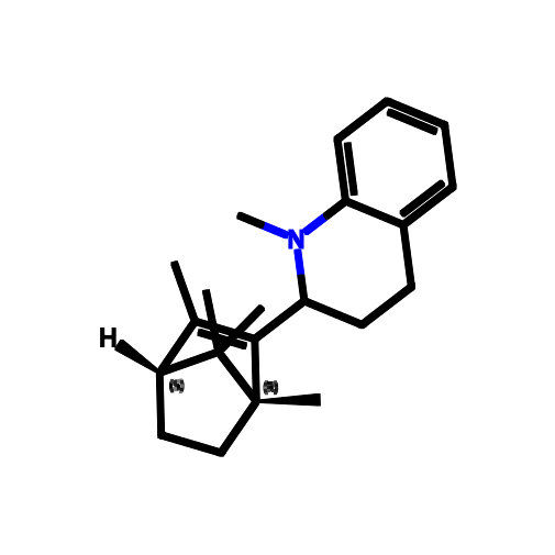 CC1=C(C2CCc3ccccc3N2C)[C@]2(C)CC[C@H]1C2(C)C